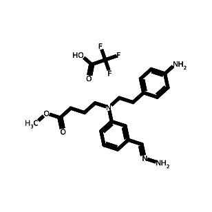 COC(=O)CCCN(CCc1ccc(N)cc1)c1cccc(C=NN)c1.O=C(O)C(F)(F)F